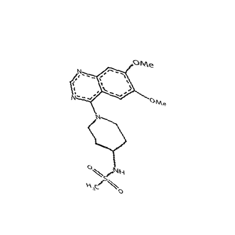 COc1cc2ncnc(N3CCC(NS(C)(=O)=O)CC3)c2cc1OC